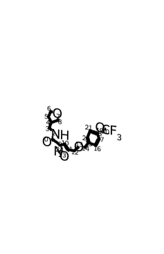 O=C(NCC1CCOC1)c1cc(COCc2ccc(OC(F)(F)F)cc2)on1